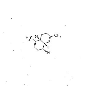 CC1=C[C@@H]2[C@@H](C(C)C)CC=C(C)[C@@H]2CC1